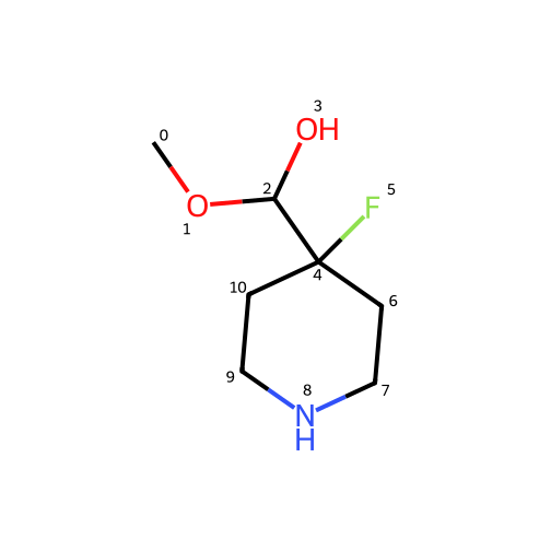 COC(O)C1(F)CCNCC1